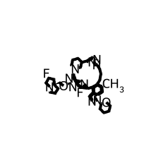 Cc1cc2c(cnn2C2CCCCO2)c2c1CCCn1ncc(n1)C1CCCN(C1)c1nc(OC[C@@]34CCCN3C[C@H](F)C4)nc3c(F)c-2ncc13